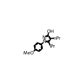 CCCc1c(O)nn(-c2ccc(OC)cc2)c1C(C)C